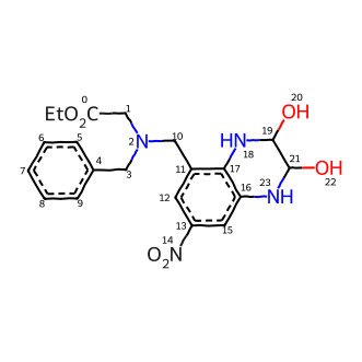 CCOC(=O)CN(Cc1ccccc1)Cc1cc([N+](=O)[O-])cc2c1NC(O)C(O)N2